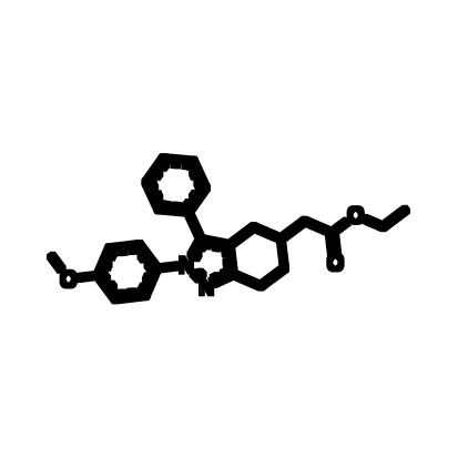 CCOC(=O)CC1CCc2nn(-c3ccc(OC)cc3)c(-c3ccccc3)c2C1